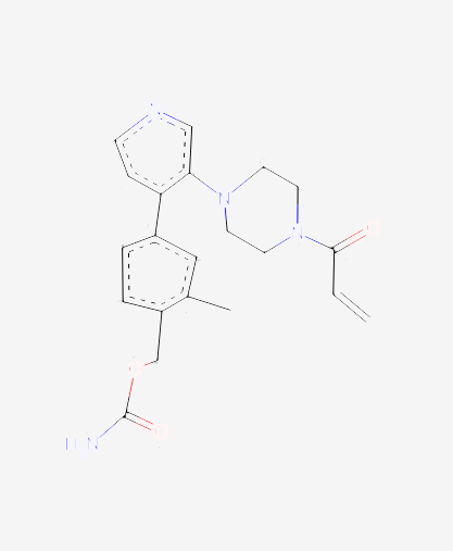 C=CC(=O)N1CCN(c2cnccc2-c2ccc(COC(N)=O)c(C)c2)CC1